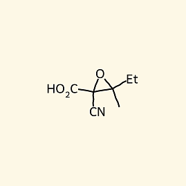 CCC1(C)OC1(C#N)C(=O)O